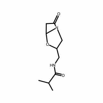 CC(C)C(=O)NCC1CN2C(=O)CC2O1